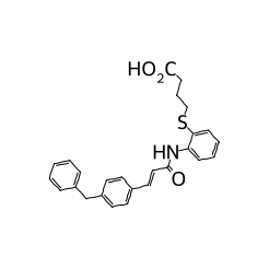 O=C(O)CCCSc1ccccc1NC(=O)C=Cc1ccc(Cc2ccccc2)cc1